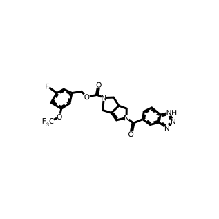 O=C(c1ccc2[nH]nnc2c1)N1C=C2CN(C(=O)OCc3cc(F)cc(OC(F)(F)F)c3)CC2C1